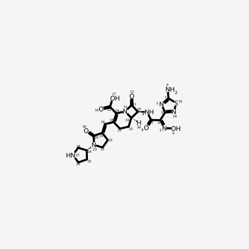 Nc1nc(/C(=N\O)C(=O)N[C@@H]2C(=O)N3C(C(=O)O)=C(/C=C4\CCN([C@@H]5CCNC5)C4=O)CC[C@H]23)ns1